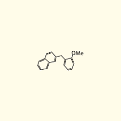 COc1ccccc1Cc1ccc2ccccc2c1